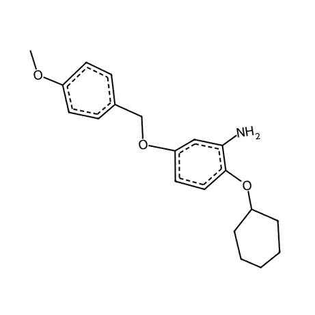 COc1ccc(COc2ccc(OC3CCCCC3)c(N)c2)cc1